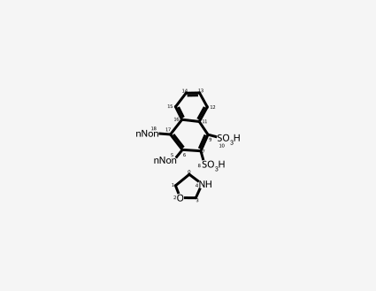 C1COCN1.CCCCCCCCCc1c(S(=O)(=O)O)c(S(=O)(=O)O)c2ccccc2c1CCCCCCCCC